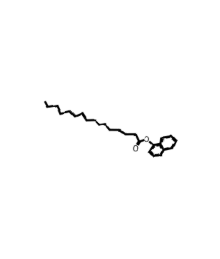 CCCCCCCCCCCCCCCC(=O)Oc1cccc2ccccc12